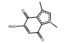 COC1=CC(=O)c2c(c(C)cn2C)C1=O